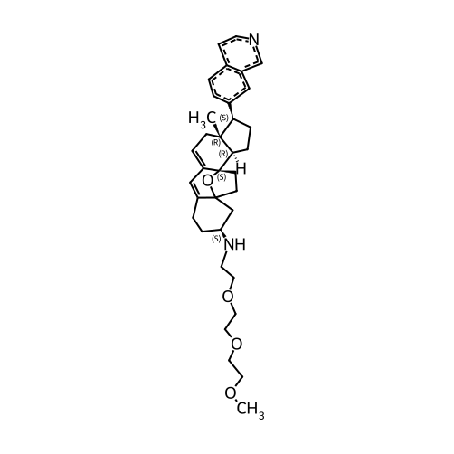 COCCOCCOCCN[C@H]1CCC2=CC3=CC[C@]4(C)[C@@H](c5ccc6ccncc6c5)CC[C@H]4[C@@]34CCC2(C1)O4